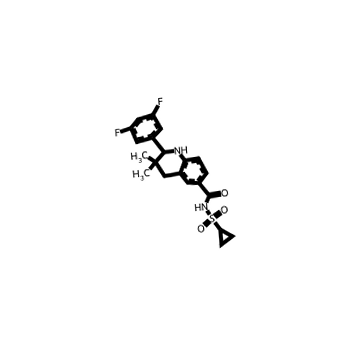 CC1(C)Cc2cc(C(=O)NS(=O)(=O)C3CC3)ccc2NC1c1cc(F)cc(F)c1